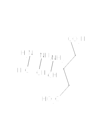 CN.CN.CN.O=C(O)CCCC(=O)O